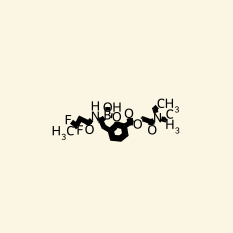 CCN(CC)C(=O)COC(=O)c1cccc2c1OB(O)[C@@H](NC(=O)CC(C)(F)F)C2